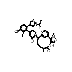 CC1CCCC(N2CCC(c3c(-c4cnn(C(F)F)c4)ccc(Cl)c3F)=CC2=O)c2cc(ccn2)-c2c(cnn2C)NC1=O